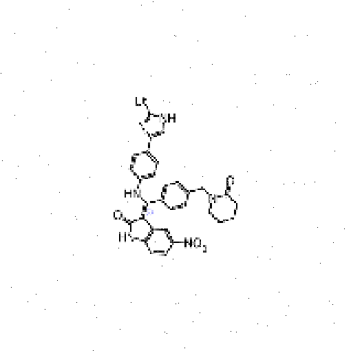 CCc1nc(-c2ccc(N/C(=C3\C(=O)Nc4ccc([N+](=O)[O-])cc43)c3ccc(CN4CCCCC4=O)cc3)cc2)c[nH]1